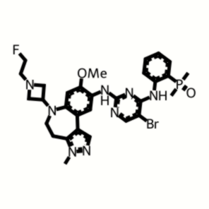 COc1cc2c(cc1Nc1ncc(Br)c(Nc3ccccc3P(C)(C)=O)n1)-c1cnn(C)c1CCN2C1CN(CCF)C1